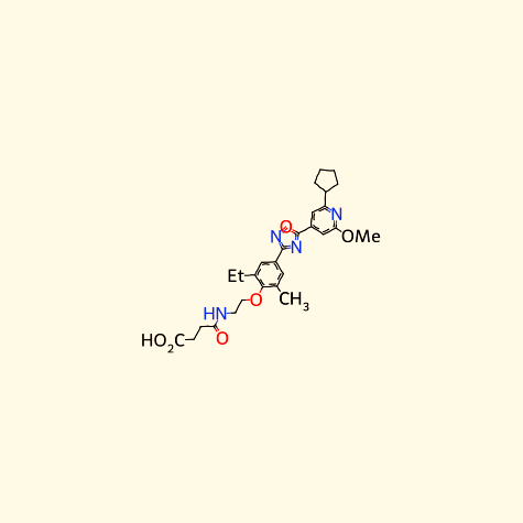 CCc1cc(-c2noc(-c3cc(OC)nc(C4CCCC4)c3)n2)cc(C)c1OCCNC(=O)CCC(=O)O